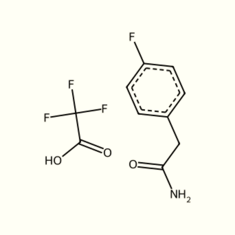 NC(=O)Cc1ccc(F)cc1.O=C(O)C(F)(F)F